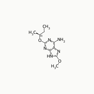 CC[C@H](C)Oc1nc(N)c2nc(OC)[nH]c2n1